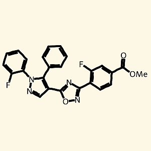 COC(=O)c1ccc(-c2noc(-c3cnn(-c4ccccc4F)c3-c3ccccc3)n2)c(F)c1